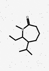 CCC1C(C(C)C)CCCC(=O)N1C